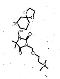 C[C@@H]1CC2(CC[C@@H]1CN1C(=O)N(COCC[Si](C)(C)C)C(=O)C1(C)C)OCCO2